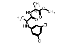 COC(=O)[C@H](C)NC(=O)C(C)Nc1cc(Cl)cc(Cl)c1